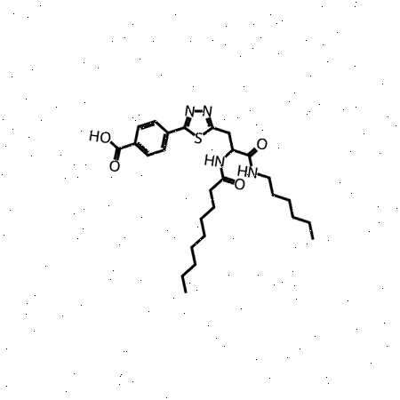 CCCCCCCCC(=O)NC(Cc1nnc(-c2ccc(C(=O)O)cc2)s1)C(=O)NCCCCCC